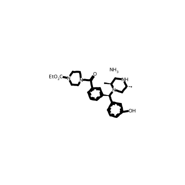 CCOC(=O)N1CCN(C(=O)c2cccc([C@H](c3cccc(O)c3)N3C[C@@H](C)NC[C@@H]3C)c2)CC1.N